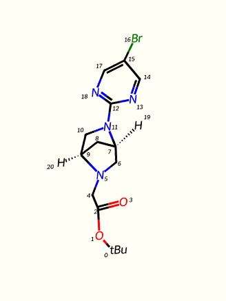 CC(C)(C)OC(=O)CN1C[C@H]2C[C@@H]1CN2c1ncc(Br)cn1